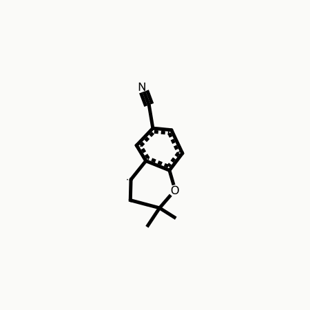 CC1(C)C[CH]c2cc(C#N)ccc2O1